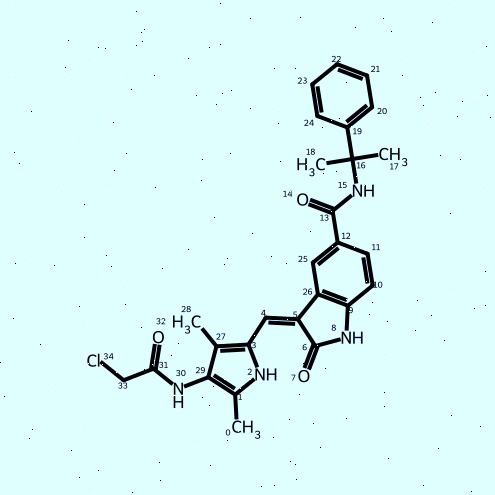 Cc1[nH]c(C=C2C(=O)Nc3ccc(C(=O)NC(C)(C)c4ccccc4)cc32)c(C)c1NC(=O)CCl